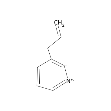 C=CCC1=[C][N+]=CC=C1